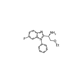 CCOC[C@H](N)c1nc2ccc(F)cc2n1-c1ccccc1